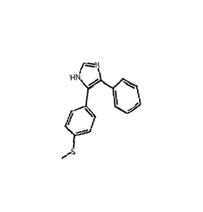 CSc1ccc(-c2[nH]cnc2-c2ccccc2)cc1